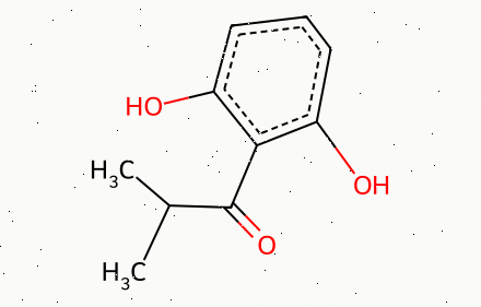 CC(C)C(=O)c1c(O)cccc1O